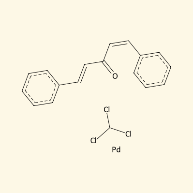 ClC(Cl)Cl.O=C(/C=C\c1ccccc1)/C=C/c1ccccc1.[Pd]